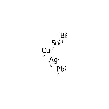 [Ag].[Bi].[Cu].[Pb].[Sn]